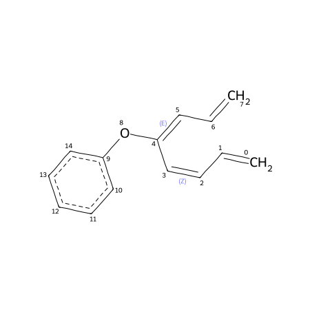 C=C/C=C\C(=C/C=C)Oc1ccccc1